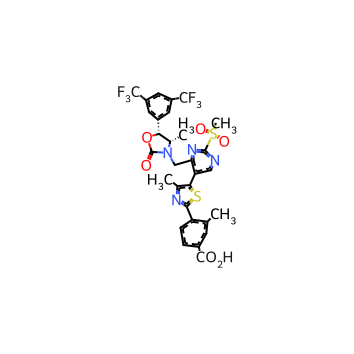 Cc1cc(C(=O)O)ccc1-c1nc(C)c(-c2cnc(S(C)(=O)=O)nc2CN2C(=O)O[C@H](c3cc(C(F)(F)F)cc(C(F)(F)F)c3)[C@@H]2C)s1